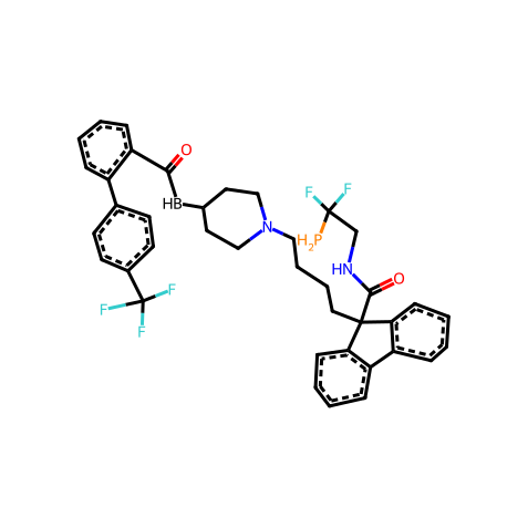 O=C(BC1CCN(CCCCC2(C(=O)NCC(F)(F)P)c3ccccc3-c3ccccc32)CC1)c1ccccc1-c1ccc(C(F)(F)F)cc1